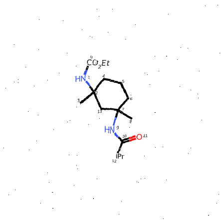 CCOC(=O)NC1(C)CCCC(C)(NC(=O)C(C)C)C1